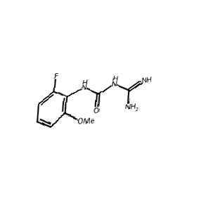 COc1cccc(F)c1NC(=O)NC(=N)N